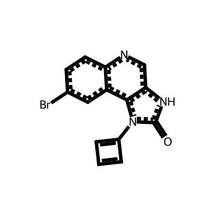 O=c1[nH]c2cnc3ccc(Br)cc3c2n1C1=CC=C1